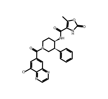 Cc1oc(=O)[nH]c1C(=O)N[C@@H]1CCN(C(=O)c2cc(Cl)c3nccnc3c2)C[C@@H]1c1ccccc1